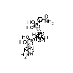 NC(=O)C1=CN([C@@H]2O[C@H](COP(=O)(O)OP(=O)(O)OC[C@H]3O[C@@H](n4cnc5c(N)ncnc54)[C@H](O)[C@@H]3O)[C@@H](O)[C@H]2O)C=CC1.OO